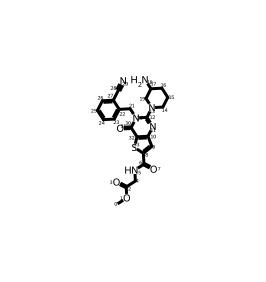 COC(=O)CNC(=O)c1cc2nc(N3CCCC(N)C3)n(Cc3ccccc3C#N)c(=O)c2s1